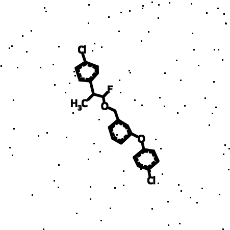 CC(c1ccc(Cl)cc1)C(F)OCc1cccc(Oc2ccc(Cl)cc2)c1